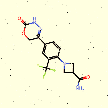 NC(=O)C1CN(c2ccc(C3=NNC(=O)OC3)cc2C(F)(F)F)C1